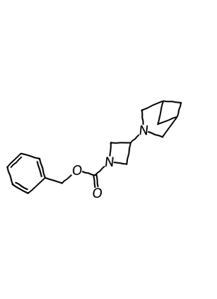 O=C(OCc1ccccc1)N1CC(N2CC3CC(C3)C2)C1